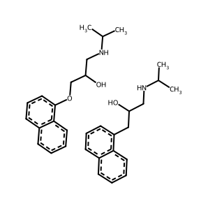 CC(C)NCC(O)COc1cccc2ccccc12.CC(C)NCC(O)Cc1cccc2ccccc12